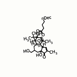 CCCCCCCCCCCCCC(=O)O[C@@H]1[C@@H](C)[C@@]2(O)[C@@H](CC(CO)C[C@]3(O)C(=O)C(C)=C[C@@H]23)[C@@H]2C(C)(C)[C@]12O